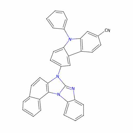 N#Cc1ccc2c3cc(-n4c5ccc6ccccc6c5n5c6ccccc6nc45)ccc3n(-c3ccccc3)c2c1